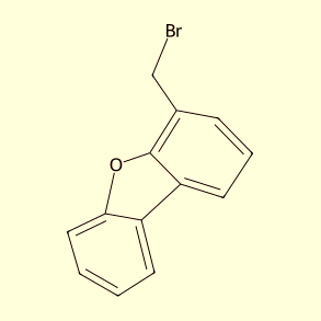 BrCc1cccc2c1oc1ccccc12